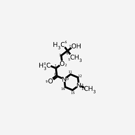 CC(OCC(C)(C)O)C(=O)N1CCN(C)CC1